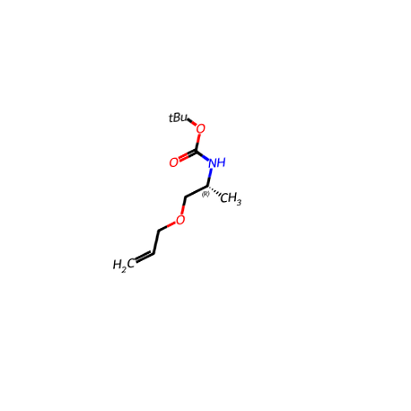 C=CCOC[C@@H](C)NC(=O)OC(C)(C)C